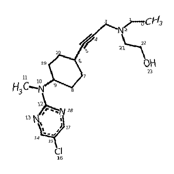 CCN(CC#CC1CCC(N(C)c2ncc(Cl)cn2)CC1)CCO